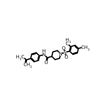 C=C(C)c1ccc(NC(=O)C2CCN(S(=O)(=O)c3ccc(C)cc3C)CC2)cc1